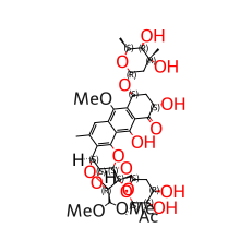 COc1c2c(c(O)c3c4c(c(C)cc13)[C@@H]1O[C@@]3(C(OC)OC)O[C@@H]1[C@@](O[C@H]1C[C@@H](O)[C@@](O)(C(C)=O)[C@H](C)O1)(O4)[C@@]31CO1)C(=O)[C@@H](O)C[C@@H]2O[C@H]1C[C@@](C)(O)[C@H](O)[C@H](C)O1